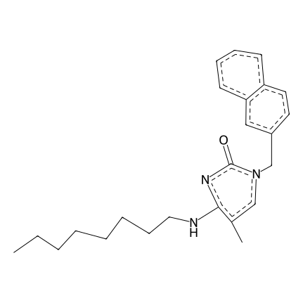 CCCCCCCCNc1nc(=O)n(Cc2ccc3ccccc3c2)cc1C